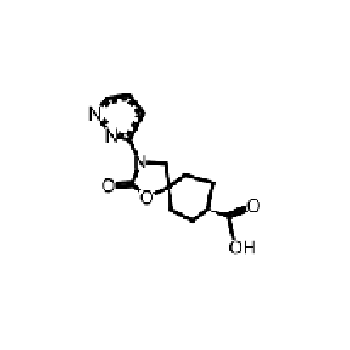 O=C1O[C@]2(CC[C@H](C(=O)O)CC2)CN1c1cccnn1